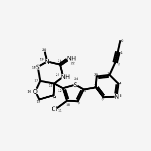 CC#Cc1cncc(-c2cc(Cl)c(C34CCOC3SN(C)C(=N)N4)s2)c1